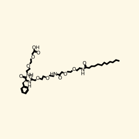 CCCCCCCCCCCC(=O)NCCOCCOCC(=O)NCCOCCOCC(=O)N[C@@H](Cc1ccccc1)C(=O)NCCOCCOCC(=O)O